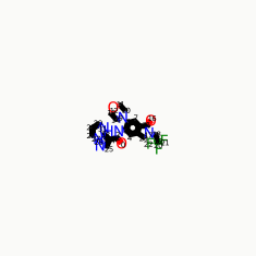 O=C(Nc1cc2c(cc1N1CCOCC1)C(=O)N(CC(F)(F)F)C2)c1cnn2cccnc12